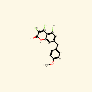 COc1ccc(Cc2cc(F)c3c(F)c(F)c(=O)oc3c2)cc1